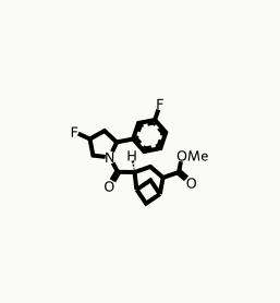 COC(=O)C1C[C@H](C(=O)N2CC(F)CC2c2cccc(F)c2)C2CC1C2